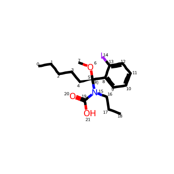 CCCCC[C@@](OC)(c1ccccc1I)N(CCC)C(=O)O